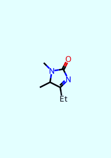 CCC1=NC(=O)N(C)C1C